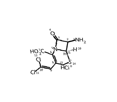 Cl.NC1C(=O)N2C(C(=O)O)=C(C=C(Cl)Cl)CS[C@H]12